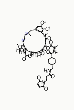 COc1cc2cc(c1Cl)N(C)C(=O)C[C@H](OC(=O)[C@@H](C)N(C)C(=O)[C@H]1CC[C@H](CNC(=O)CCN3C(=O)C=CC3=O)CC1)[C@]1(C)O[C@H]1[C@H](C)[C@@H]1C[C@@](O)(NC(=O)O1)[C@H](OC)/C=C/C=C(\C)C2